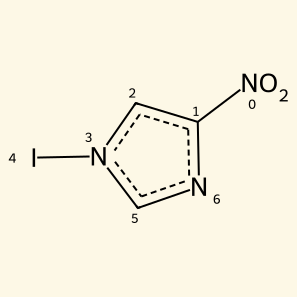 O=[N+]([O-])c1cn(I)cn1